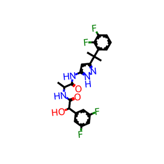 CC(NC(=O)C(O)c1cc(F)cc(F)c1)C(=O)Nc1cc(C(C)(C)c2cccc(F)c2F)n[nH]1